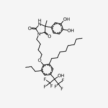 CCCCCCCCc1cc(C(O)(C(F)(F)F)C(F)(F)F)cc(CCC)c1OCCCCN1C(=O)NC(C)(c2ccc(O)c(O)c2)C1=O